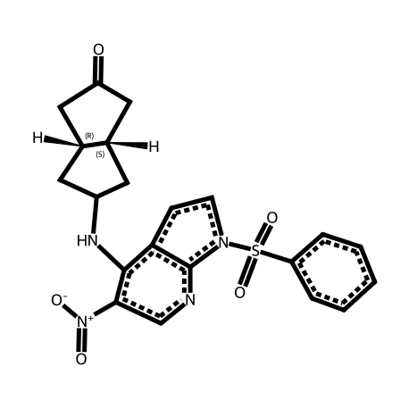 O=C1C[C@@H]2CC(Nc3c([N+](=O)[O-])cnc4c3ccn4S(=O)(=O)c3ccccc3)C[C@@H]2C1